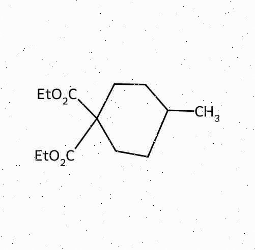 CCOC(=O)C1(C(=O)OCC)CCC(C)CC1